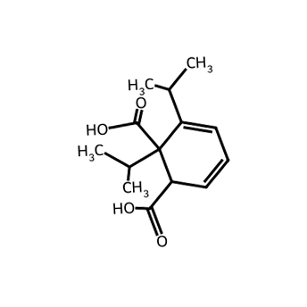 CC(C)C1=CC=CC(C(=O)O)C1(C(=O)O)C(C)C